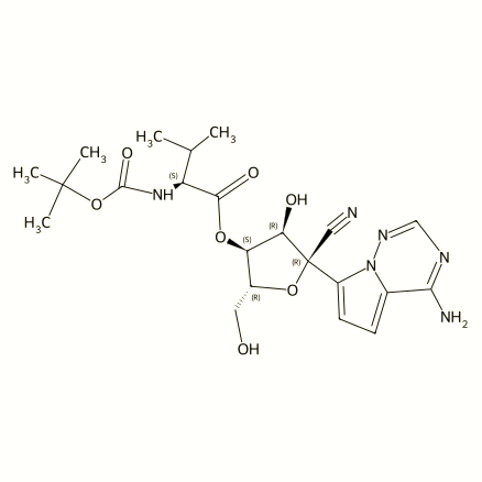 CC(C)[C@H](NC(=O)OC(C)(C)C)C(=O)O[C@H]1[C@@H](O)[C@](C#N)(c2ccc3c(N)ncnn23)O[C@@H]1CO